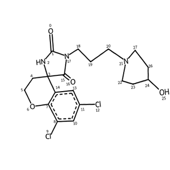 O=C1NC2(CCOc3c(Cl)cc(Cl)cc32)C(=O)N1CCCN1CCC(O)CC1